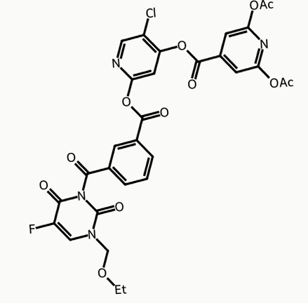 CCOCn1cc(F)c(=O)n(C(=O)c2cccc(C(=O)Oc3cc(OC(=O)c4cc(OC(C)=O)nc(OC(C)=O)c4)c(Cl)cn3)c2)c1=O